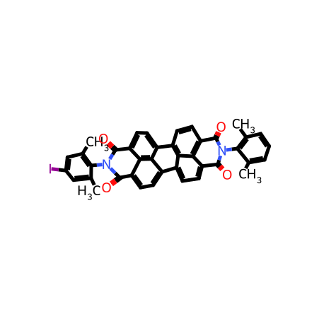 Cc1cccc(C)c1N1C(=O)c2ccc3c4ccc5c6c(ccc(c7ccc(c2c37)C1=O)c64)C(=O)N(c1c(C)cc(I)cc1C)C5=O